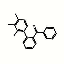 Cc1ccc(-c2ccccc2C(=O)c2ccccc2)c(C)c1C